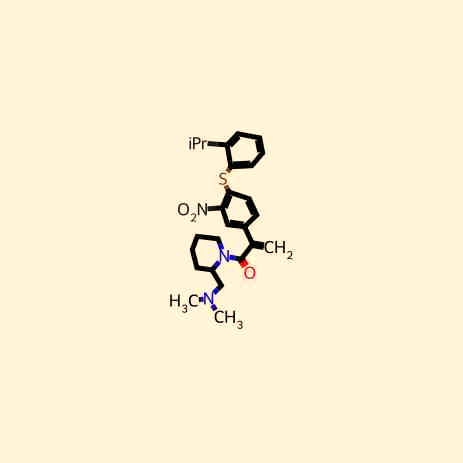 C=C(C(=O)N1CCCCC1CN(C)C)c1ccc(Sc2ccccc2C(C)C)c([N+](=O)[O-])c1